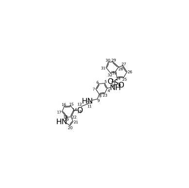 O=S(=O)(Nc1cccc(CNCCOc2cccc3[nH]ccc23)c1)c1cccc2ccccc12